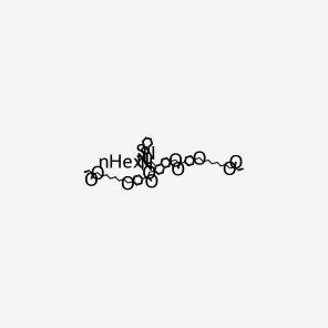 C=CC(=O)OCCCCCCOc1ccc(C(=O)Oc2ccc3c(/C=N/N(CCCCCC)c4nc5ccccc5s4)c(OC(=O)c4ccc(OCCCCCCOC(=O)C=C)cc4)ccc3c2)cc1